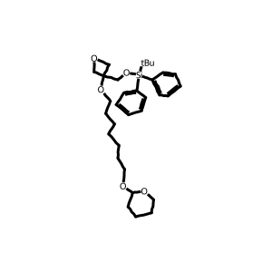 CC(C)(C)[Si](OCC1(OCCCCCCCOC2CCCCO2)COC1)(c1ccccc1)c1ccccc1